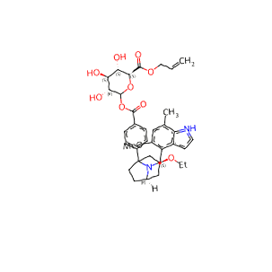 C=CCOC(=O)[C@H]1OC(OC(=O)c2ccc(C34CC[C@H](C[C@H](OCC)C3)N4Cc3c(OC)cc(C)c4[nH]ccc34)cc2)[C@H](O)[C@@H](O)[C@@H]1O